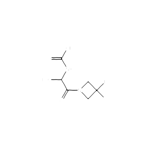 CC(NC(=O)O)C(=O)N1CC(F)(F)C1